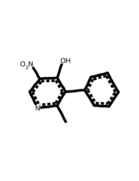 Cc1ncc([N+](=O)[O-])c(O)c1-c1ccccc1